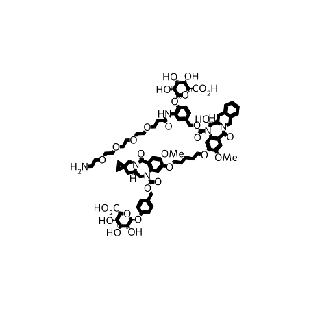 COc1cc2c(cc1OCCCCCOc1cc3c(cc1OC)C(=O)N1Cc4ccccc4C[C@H]1[C@H](O)N3C(=O)OCc1ccc(O[C@@H]3O[C@H](C(=O)O)[C@@H](O)[C@H](O)[C@H]3O)c(NC(=O)CCOCCOCCOCCOCCN)c1)N(C(=O)OCc1ccc(O[C@@H]3O[C@H](C(=O)O)[C@@H](O)[C@H](O)[C@H]3O)cc1)C[C@@H]1CC3(CC3)CN1C2=O